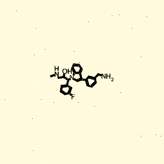 CNCC(O)C(c1cccc(F)c1)n1cc(-c2cccc(CN)c2)c2ccccc21